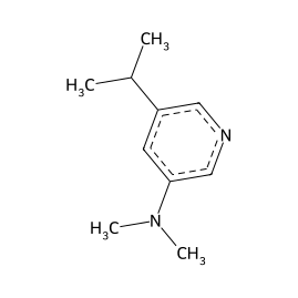 CC(C)c1cncc(N(C)C)c1